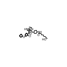 CC(O)CCCCCC(=O)N[C@H]1CC[C@@H](Nc2ncnc3[nH]cc(C(=O)c4ccc(Oc5ccccc5)cc4Cl)c23)CC1